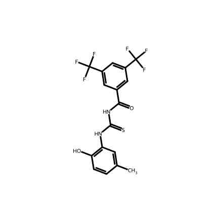 Cc1ccc(O)c(NC(=S)NC(=O)c2cc(C(F)(F)F)cc(C(F)(F)F)c2)c1